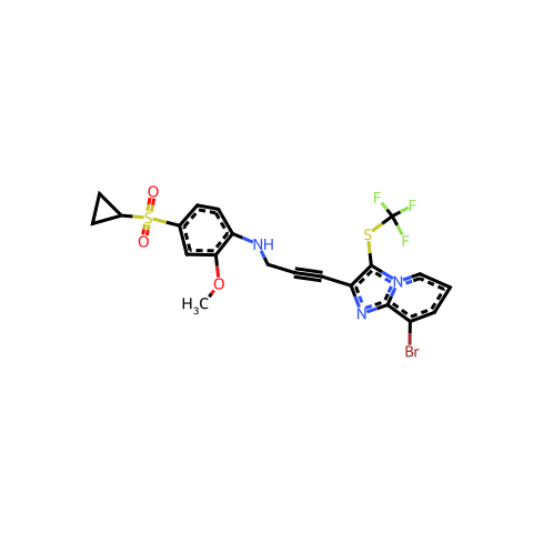 COc1cc(S(=O)(=O)C2CC2)ccc1NCC#Cc1nc2c(Br)cccn2c1SC(F)(F)F